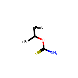 CCCCCC(CCC)OC(N)=S